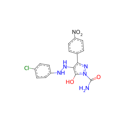 NC(=O)n1nc(-c2ccc([N+](=O)[O-])cc2)c(NNc2ccc(Cl)cc2)c1O